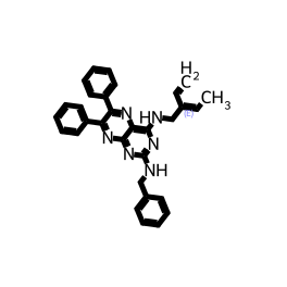 C=C/C(=C\C)CNc1nc(NCc2ccccc2)nc2nc(-c3ccccc3)c(-c3ccccc3)nc12